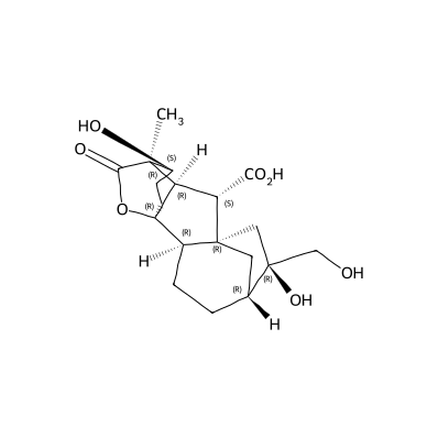 C[C@]12C(=O)O[C@]3(CC[C@@H]1O)[C@@H]1CC[C@@H]4C[C@]1(C[C@]4(O)CO)[C@@H](C(=O)O)[C@@H]32